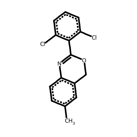 Cc1ccc2c(c1)COC(c1c(Cl)cccc1Cl)=N2